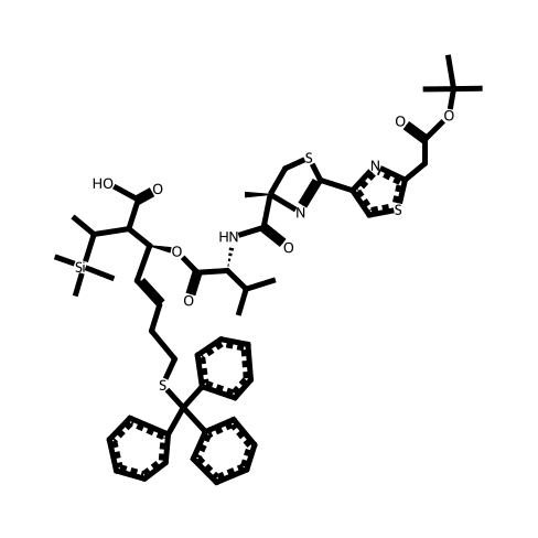 CC(C)[C@@H](NC(=O)[C@]1(C)CSC(c2csc(CC(=O)OC(C)(C)C)n2)=N1)C(=O)O[C@@H](/C=C/CCSC(c1ccccc1)(c1ccccc1)c1ccccc1)C(C(=O)O)C(C)[Si](C)(C)C